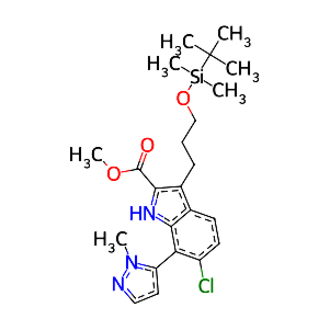 COC(=O)c1[nH]c2c(-c3ccnn3C)c(Cl)ccc2c1CCCO[Si](C)(C)C(C)(C)C